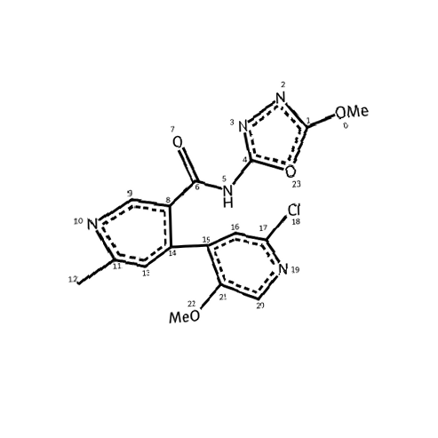 COc1nnc(NC(=O)c2cnc(C)cc2-c2cc(Cl)ncc2OC)o1